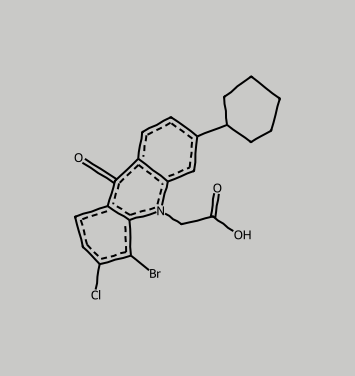 O=C(O)Cn1c2cc(C3CCCCC3)ccc2c(=O)c2ccc(Cl)c(Br)c21